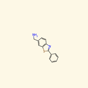 NCc1ccc2nc(-c3ccccc3)sc2c1